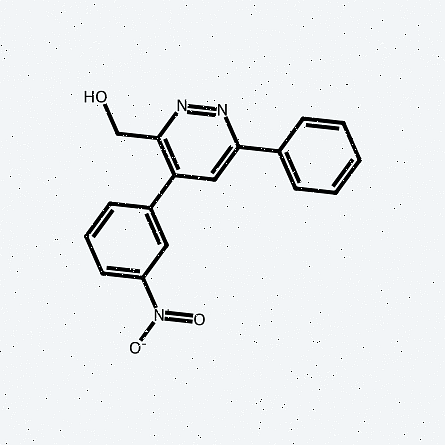 O=[N+]([O-])c1cccc(-c2cc(-c3ccccc3)nnc2CO)c1